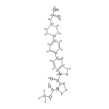 CC(C)(C)OC(=O)N1CCCC1C(=O)N1CCc2cc(-c3ccc(C4CCC(CC(=O)O)CC4)cc3)ccc21